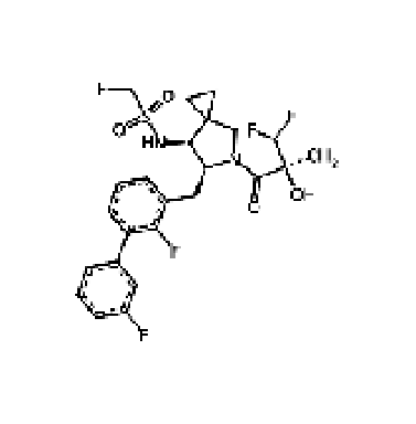 C[C@](O)(C(=O)N1CC2(CC2)[C@H](NS(=O)(=O)CF)[C@@H]1Cc1cccc(-c2cccc(F)c2)c1F)C(F)F